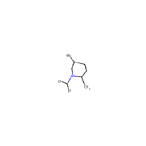 CCC(CC)N1CC(C(C)(C)C)CCC1C(F)(F)F